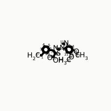 C=Cc1cccc(-c2nc(-n3cnc4cc(OC)c(OC)cc43)sc2C(=O)O)c1